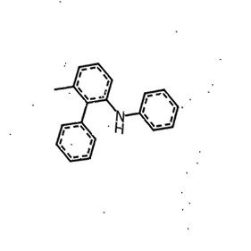 Cc1cccc(Nc2cc[c]cc2)c1-c1ccccc1